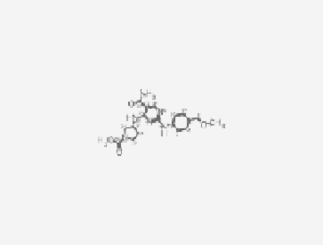 COC[C@H]1CC[C@H](Nc2ncc(C(N)=O)c(N[C@H]3CCN(C(C)=O)C3)n2)CC1